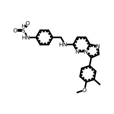 COc1ccc(-c2cnc3ccc(NCc4ccc(N[SH](=O)=O)cc4)nn23)cc1C